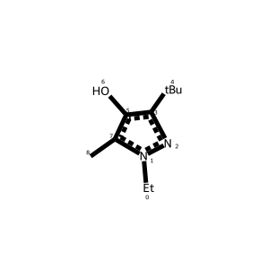 CCn1nc(C(C)(C)C)c(O)c1C